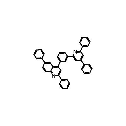 c1ccc(-c2cc(-c3ccccc3)nc(-c3cccc(-c4cc(-c5ccccc5)nc5ccc(-c6ccccc6)cc45)c3)c2)cc1